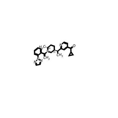 C=C(c1ccccc1-n1nccn1)N1C[C@H](C(C)c2cc(C(=O)C3CC3)ccn2)CC[C@H]1C